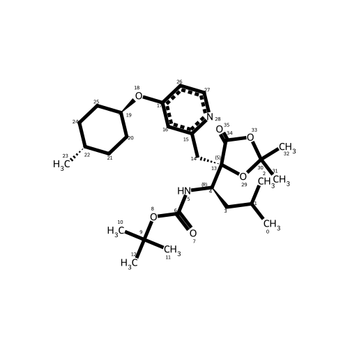 CC(C)C[C@@H](NC(=O)OC(C)(C)C)[C@]1(Cc2cc(O[C@H]3CC[C@H](C)CC3)ccn2)OC(C)(C)OC1=O